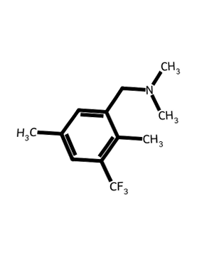 Cc1cc(CN(C)C)c(C)c(C(F)(F)F)c1